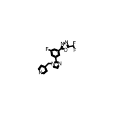 Fc1cc(-c2nnc(C(F)F)o2)cc(-c2nccn2Cc2ccncc2)c1